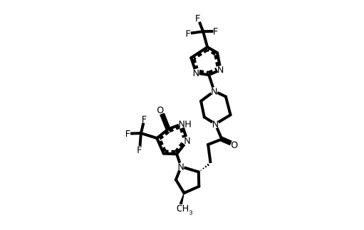 C[C@@H]1C[C@@H](CCC(=O)N2CCN(c3ncc(C(F)(F)F)cn3)CC2)N(c2cc(C(F)(F)F)c(=O)[nH]n2)C1